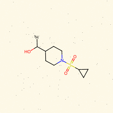 [3H]C(O)C1CCN(S(=O)(=O)C2CC2)CC1